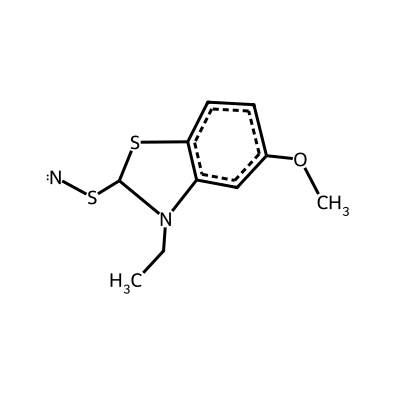 CCN1c2cc(OC)ccc2SC1S[N]